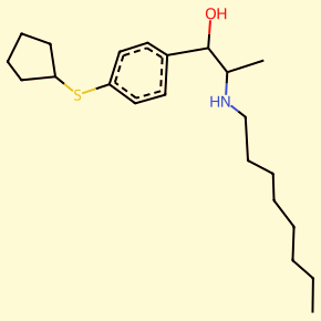 CCCCCCCCNC(C)C(O)c1ccc(SC2CCCC2)cc1